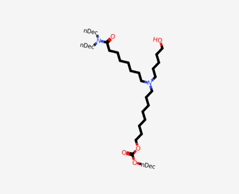 CCCCCCCCCCOC(=O)OCCCCCCCCN(CCCCCO)CCCCCCCC(=O)N(CCCCCCCCCC)CCCCCCCCCC